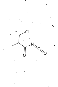 CC(CCl)C(=O)N=C=O